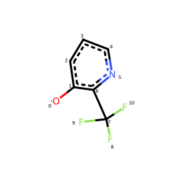 [O]c1cccnc1C(F)(F)F